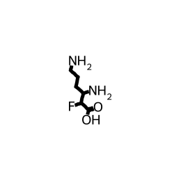 NCCCC(N)C(F)C(=O)O